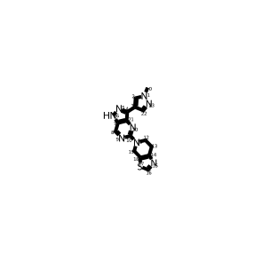 Cn1cc(-c2n[nH]c3cnc(N4CCc5ncsc5C4)nc23)cn1